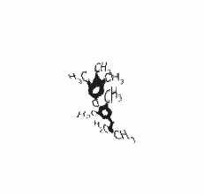 C=C(C)Cc1cc(C)c(Oc2cc(C)c(C)c(C)c2)c(C)c1